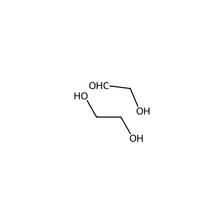 O=CCO.OCCO